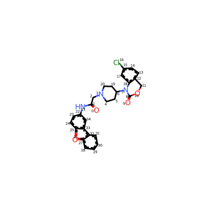 O=C(CN1CCC(N2C(=O)OCc3ccc(Cl)cc32)CC1)Nc1ccc2oc3ccccc3c2c1